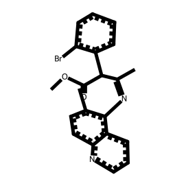 COC(=O)C(/C(C)=N\c1c(C)ccc2ncccc12)c1ccccc1Br